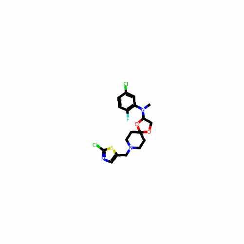 CN(c1cc(Cl)ccc1F)C1COC2(CCN(Cc3cnc(Cl)s3)CC2)O1